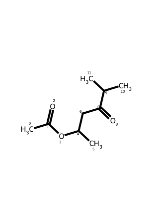 CC(=O)OC(C)CC(=O)C(C)C